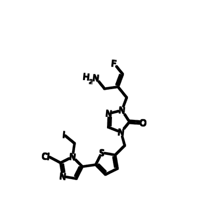 NC/C(=C\F)Cn1ncn(Cc2ccc(-c3cnc(Cl)n3CI)s2)c1=O